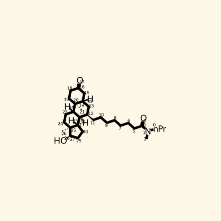 CCCN(C)C(=O)CCCCCCC[C@@H]1C[C@H]2CC(=O)CC[C@]2(C)[C@H]2CC[C@]3(C)[C@@H](O)CC[C@H]3[C@H]12